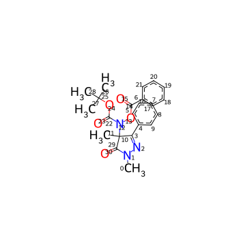 CN1N=C(c2ccccc2)C(C)(N(OC(=O)c2ccccc2)C(=O)OC(C)(C)C)C1=O